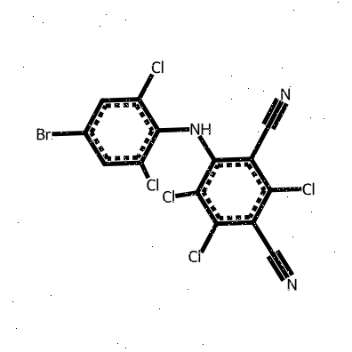 N#Cc1c(Cl)c(Cl)c(Nc2c(Cl)cc(Br)cc2Cl)c(C#N)c1Cl